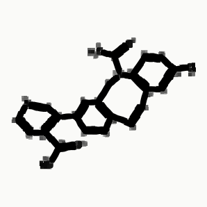 CC(=O)N1Cc2cc(-c3cnccc3C(=O)O)ccc2C=Cc2cc(Cl)ccc21